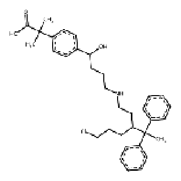 CC(C)(C(=O)O)c1ccc(C(O)CCCNCCC(CCCCl)C(C)(c2ccccc2)c2ccccc2)cc1